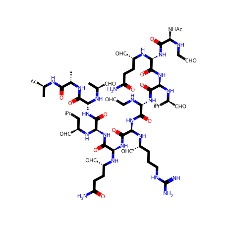 CC(=O)N[C@@H](NCC=O)C(=O)N[C@@H](N[C@@H](C=O)CCC(N)=O)C(=O)N[C@@H](N[C@@H](C=O)C(C)C)C(=O)N[C@@H](NCC=O)C(=O)N[C@@H](N[C@@H](C=O)CCCNC(=N)N)C(=O)N[C@@H](N[C@@H](C=O)CCC(N)=O)C(=O)N[C@@H](N[C@@H](C=O)CC(C)C)C(=O)N[C@@H](N[C@@H](C)C=O)C(=O)N[C@@H](C)C(=O)N[C@@H](C)C(C)=O